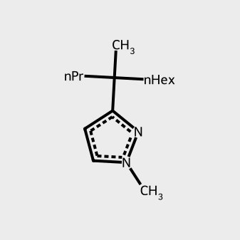 CCCCCCC(C)(CCC)c1ccn(C)n1